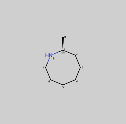 C[C@H]1CCCCCCN1